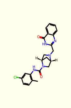 Cc1ccc(Cl)cc1NC(=O)N1C[C@@H]2C[C@H]1CN2Cc1nc2ccccc2c(=O)[nH]1